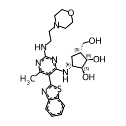 Cc1nc(NCCN2CCOCC2)nc(N[C@@H]2C[C@H](CO)[C@@H](O)[C@H]2O)c1-c1nc2ccccc2s1